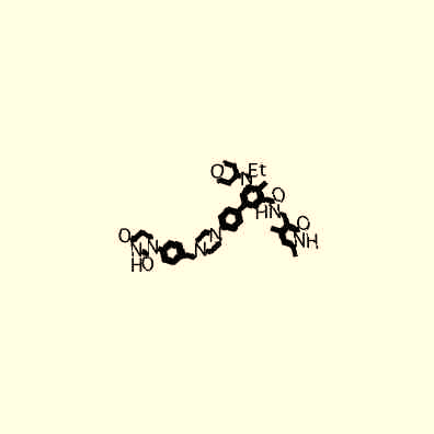 CCN(c1cc(-c2ccc(N3CCN(Cc4ccc(N5CCC(=O)NC5=O)cc4)CC3)cc2)cc(C(=O)NCc2c(C)cc(C)[nH]c2=O)c1C)C1CCOCC1